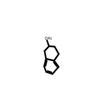 CC(=O)OC1[CH]c2ccccc2CC1